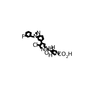 O=C(Nc1cc(-c2ccc3ncn(Cc4cccc(F)c4)c3c2)c(Cl)cn1)[C@H]1[C@@H]2CN(C(=O)O)C[C@@H]21